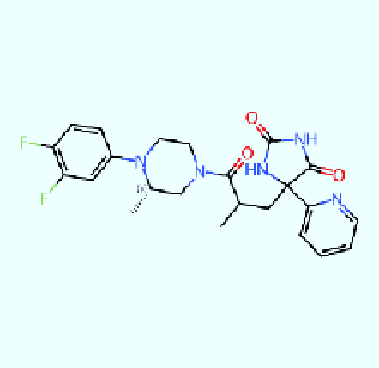 CC(CC1(c2ccccn2)NC(=O)NC1=O)C(=O)N1CCN(c2ccc(F)c(F)c2)[C@@H](C)C1